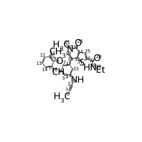 CC#CNc1ccc(Oc2c(C)cccc2C)c(-c2cn(C)c(=O)c3cc(C(=O)NCC)sc23)c1